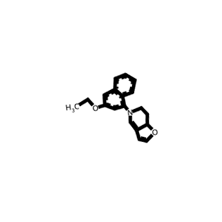 CCOc1cc(N2C=C3C=COC3CC2)c2ccccc2c1